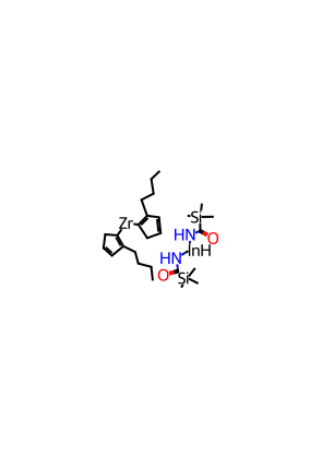 CCCCC1=[C]([Zr][C]2=C(CCCC)C=CC2)CC=C1.C[Si](C)(C)C(=O)[NH][InH][NH]C(=O)[Si](C)(C)C